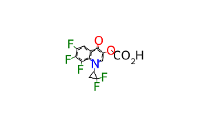 O=C(O)Oc1cn(C2CC2(F)F)c2c(F)c(F)c(F)cc2c1=O